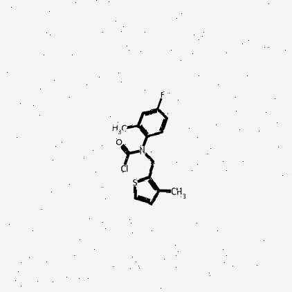 Cc1cc(F)ccc1N(Cc1sccc1C)C(=O)Cl